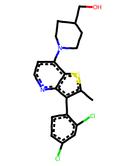 Cc1sc2c(N3CCC(CO)CC3)ccnc2c1-c1ccc(Cl)cc1Cl